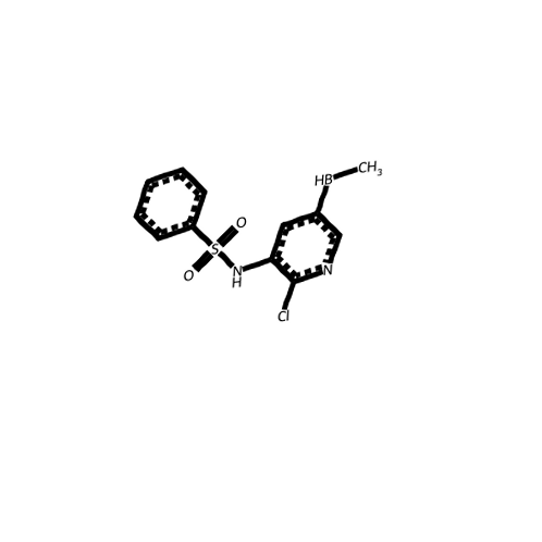 CBc1cnc(Cl)c(NS(=O)(=O)c2ccccc2)c1